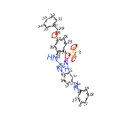 CS(=O)(=O)ONC(=Nc1ccc(N=Nc2ccccc2)cc1)Nc1cccc(OCc2ccccc2)c1